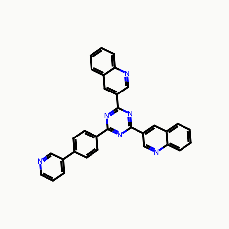 c1cncc(-c2ccc(-c3nc(-c4cnc5ccccc5c4)nc(-c4cnc5ccccc5c4)n3)cc2)c1